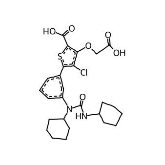 O=C(O)COc1c(C(=O)O)sc(-c2cccc(N(C(=O)NC3CCCCC3)C3CCCCC3)c2)c1Cl